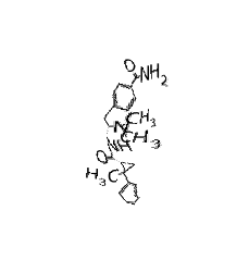 CN(C)[C@H](CNC(=O)[C@@H]1CC1(C)c1ccccc1)Cc1ccc(C(N)=O)cc1